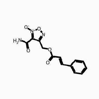 NC(=O)c1c(COC(=O)/C=C/c2ccccc2)no[n+]1[O-]